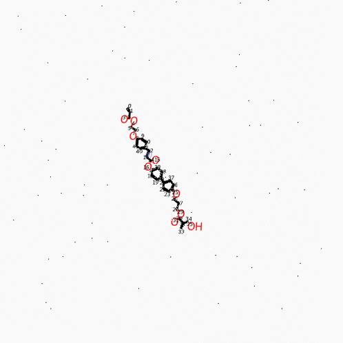 C=CC(=O)OCCOc1ccc(/C=C/C(=O)Oc2ccc(-c3ccc(OCCCOC(=O)C(=C)CO)cc3)cc2)cc1